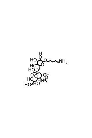 CC(=O)NC1C([C@H](O)[C@H](O)CO)O[C@@](OCC2OC(OCCCCCN)C(O)C(O)C2O)(C(=O)O)C[C@H]1O